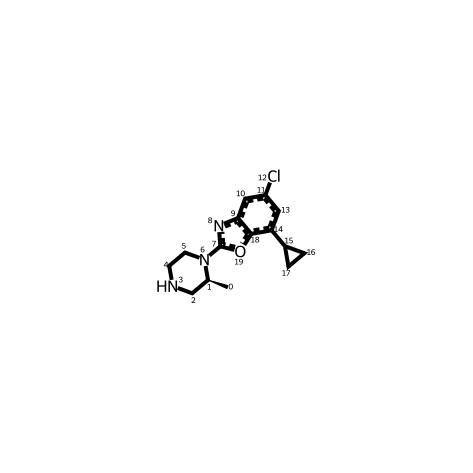 C[C@H]1CNCCN1c1nc2cc(Cl)cc(C3CC3)c2o1